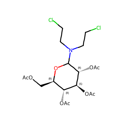 CC(=O)OC[C@H]1OC(N(CCCl)CCCl)[C@H](OC(C)=O)[C@@H](OC(C)=O)[C@@H]1OC(C)=O